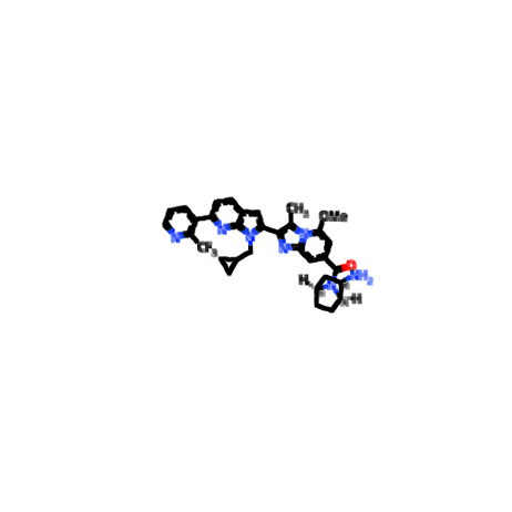 COc1cc(C(=O)N2[C@H]3CC[C@@H]2[C@H](N)C3)cc2nc(-c3cc4ccc(-c5cccnc5C(F)(F)F)nc4n3CC3CC3)c(C)n12